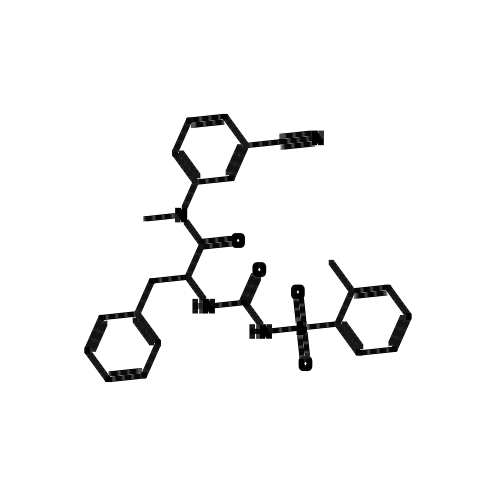 Cc1ccccc1S(=O)(=O)NC(=O)NC(Cc1ccccc1)C(=O)N(C)c1cccc(C#N)c1